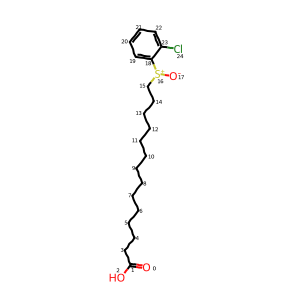 O=C(O)CCCCCCCCCCCCC[S+]([O-])c1ccccc1Cl